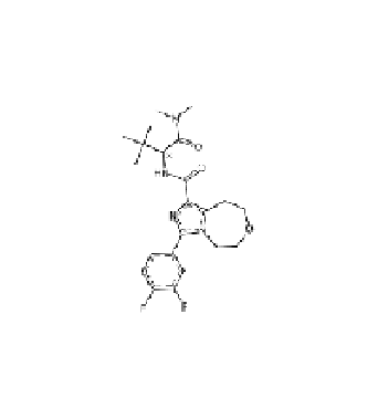 CN(C)C(=O)[C@@H](NC(=O)c1nc(-c2ccc(F)c(F)c2)n2c1CCOCC2)C(C)(C)C